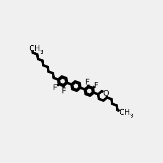 CCCCCCCCCCc1ccc(-c2ccc(-c3ccc(C4CCC(CCCCC)OC4)c(F)c3F)cc2)c(F)c1F